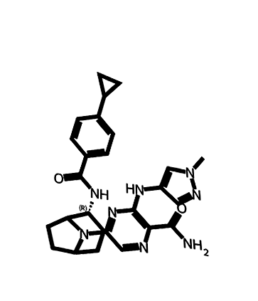 Cn1cc(Nc2nc(N3C4CCC3[C@H](NC(=O)c3ccc(C5CC5)cc3)CC4)cnc2C(N)=O)cn1